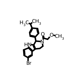 COCC(=O)N1CCc2c([nH]c3ccc(Br)cc23)C1c1ccc(C(C)C)cc1